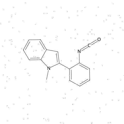 Cn1c(-c2ccccc2N=C=O)cc2ccccc21